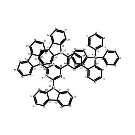 c1ccc([Si](c2ccccc2)(c2ccccc2)c2ccccc2-c2ccc(-n3c4ccccc4c4ccccc43)c(-c3nc(-n4c5ccccc5c5ccccc54)nc(-n4c5ccccc5c5ccccc54)n3)c2)cc1